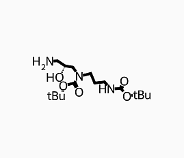 CC(C)(C)OC(=O)NCCCN(C[C@H](O)CN)C(=O)OC(C)(C)C